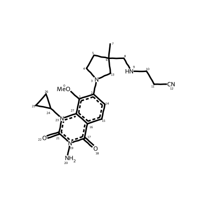 COc1c(N2CCC(C)(CNCCC#N)C2)ccc2c(=O)n(N)c(=O)n(C3CC3)c12